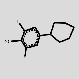 N#Cc1c(F)cc(C2CCCCC2)cc1F